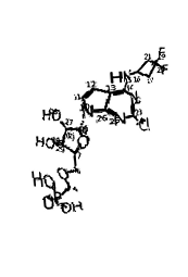 O=P(O)(O)COCC1O[C@@H](n2ccc3c(NC4CC(F)(F)C4)nc(Cl)nc32)[C@H](O)[C@@H]1O